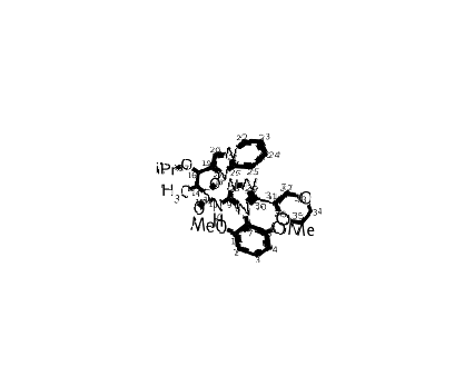 COc1cccc(OC)c1-n1c(NS(=O)(=O)C(C)C(OC(C)C)c2cn3ccccc3n2)nnc1[C@H]1COCCO1